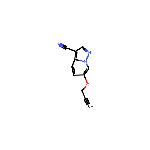 C#CCOc1ccc2c(C#N)cnn2c1